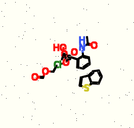 CC(=O)Nc1ccccc1[As](=O)(OO)OCl.CCOC=O.c1ccc2sccc2c1